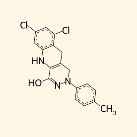 Cc1ccc(N2CC3=C(Nc4cc(Cl)cc(Cl)c4C3)C(O)=N2)cc1